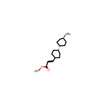 CCCC[C@H]1CC[C@H](C2CCC(/C=C/C(=O)OCCC)CC2)CC1